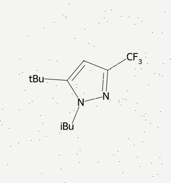 CCC(C)n1nc(C(F)(F)F)cc1C(C)(C)C